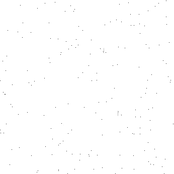 CC(C)(C)c1cc(-c2cc(-c3cc[c]cc3Cl)cc3cnccc23)ccn1